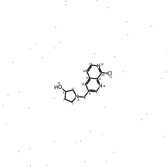 OC1CCN(Cc2cnc3c(Cl)nccc3c2)C1